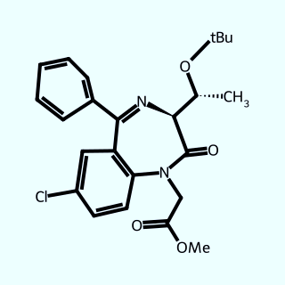 COC(=O)CN1C(=O)[C@H]([C@@H](C)OC(C)(C)C)N=C(c2ccccc2)c2cc(Cl)ccc21